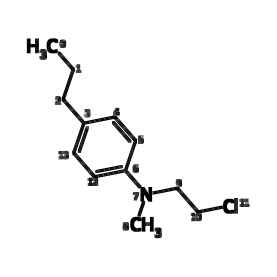 CCCc1ccc(N(C)CCCl)cc1